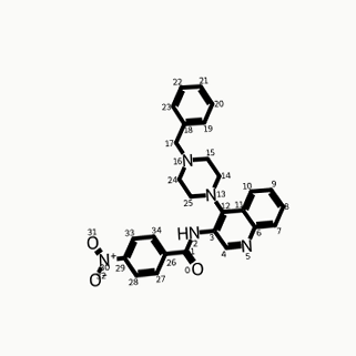 O=C(Nc1cnc2ccccc2c1N1CCN(Cc2ccccc2)CC1)c1ccc([N+](=O)[O-])cc1